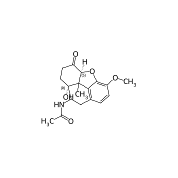 COc1ccc2c3c1O[C@@H]1C(=O)CC[C@](O)(C(NC(C)=O)C2)C31C